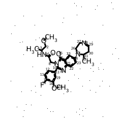 COCC(C)NC(=O)Cn1c(-c2ccc(F)c(OC)c2)nc2ccc(N3CCN=CCC3C)cc2c1=O